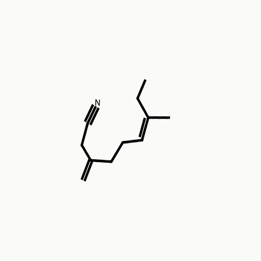 C=C(CC#N)CCC=C(C)CC